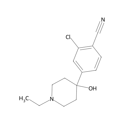 CCN1CCC(O)(c2ccc(C#N)c(Cl)c2)CC1